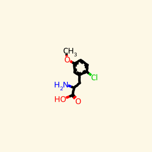 COc1ccc(Cl)c(CC(N)C(=O)O)c1